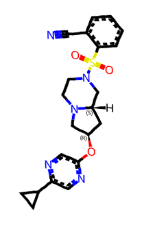 N#Cc1ccccc1S(=O)(=O)N1CCN2C[C@H](Oc3cnc(C4CC4)cn3)C[C@H]2C1